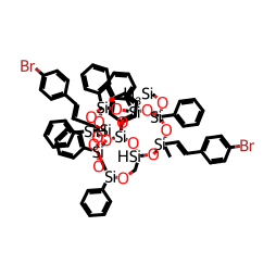 C[Si]1(/C=C/c2ccc(Br)cc2)O[SiH]2CO[Si]3(c4ccccc4)O[SiH](c4ccccc4)O[Si]4(c5ccccc5)O[Si](C)(/C=C/c5ccc(Br)cc5)O[Si](c5ccccc5)(O3)O[Si](c3ccccc3)(O2)O[Si](c2ccccc2)(O[Si](O[SiH3])(c2ccccc2)O1)O4